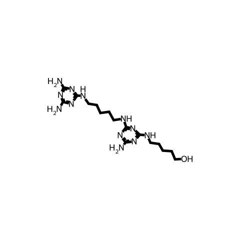 Nc1nc(N)nc(NCCCCCNc2nc(N)nc(NCCCCCO)n2)n1